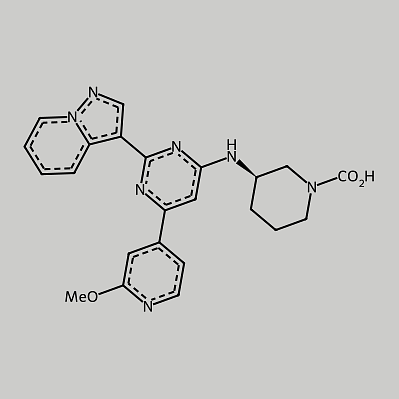 COc1cc(-c2cc(N[C@@H]3CCCN(C(=O)O)C3)nc(-c3cnn4ccccc34)n2)ccn1